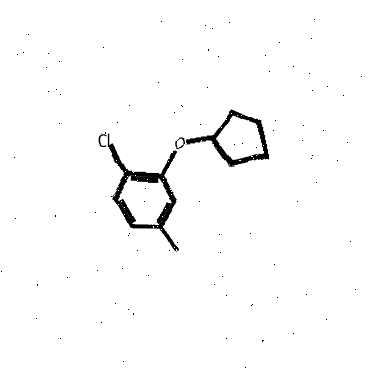 Cc1ccc(Cl)c(OC2CCCC2)c1